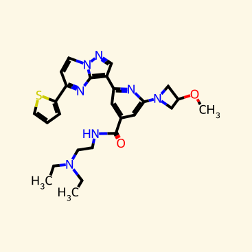 CCN(CC)CCNC(=O)c1cc(-c2cnn3ccc(-c4cccs4)nc23)nc(N2CC(OC)C2)c1